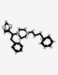 C1=C(C(Cc2ccccc2)N2CCN(CCCc3ccccc3)CC2)OCO1